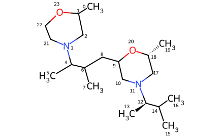 CC1CN(C(C)C(C)CC2CN([C@H](C)C(C)C)C[C@@H](C)O2)CCO1